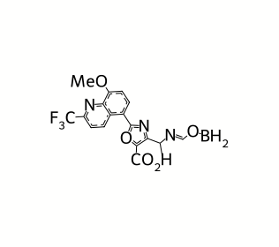 BOC=NC(C)c1nc(-c2ccc(OC)c3nc(C(F)(F)F)ccc23)oc1C(=O)O